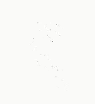 Nc1ncnn2c(-c3ccc(Cl)c(C(=O)N[C@@H]4CN(C(=O)c5cccc(F)c5)C[C@@H]4F)c3)cc(C(F)(F)F)c12